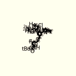 [2H]C([2H])([2H])NC(=O)c1nnc(Cl)cc1Nc1cc(COCc2cc(F)cc(NC(=O)OC(C)(C)C)n2)cc(-c2ccn(C3CC3)n2)c1OC